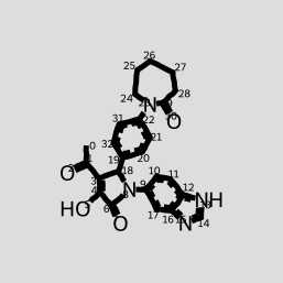 CC(=O)C1=C(O)C(=O)N(c2ccc3[nH]cnc3c2)C1c1ccc(N2CCCCCC2=O)cc1